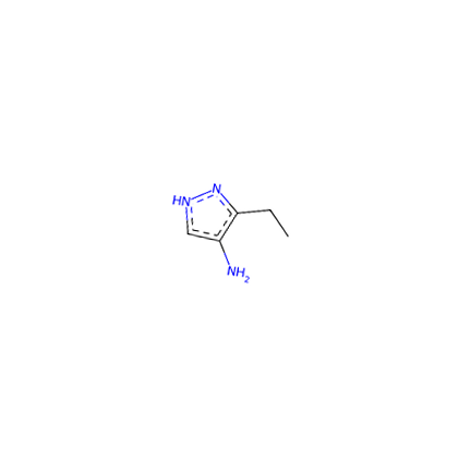 CCc1n[nH]cc1N